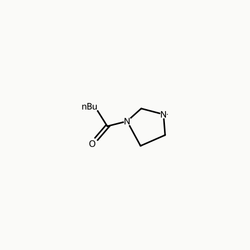 CCCCC(=O)N1CC[N]C1